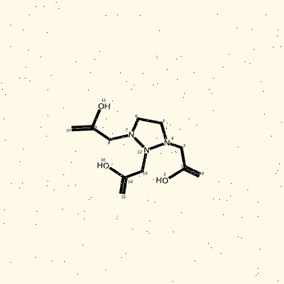 C=C(O)CN1CCN(CC(=C)O)N1CC(=C)O